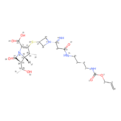 C=CCOC(=O)NCCCCNC(=O)CC(=N)N1CC(SC2=C(C(=O)O)N3C(=O)[C@H]([C@@H](C)O)[C@H]3[C@H]2C)C1